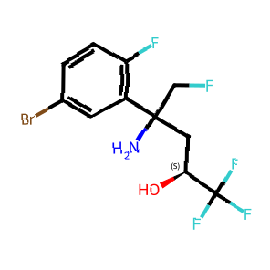 NC(CF)(C[C@H](O)C(F)(F)F)c1cc(Br)ccc1F